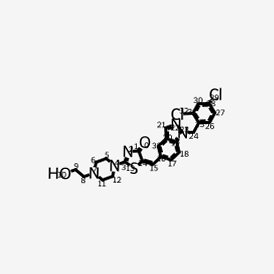 O=C1N=C(N2CCN(CCO)CC2)SC1=Cc1ccc2c(cnn2Cc2ccc(Cl)cc2Cl)c1